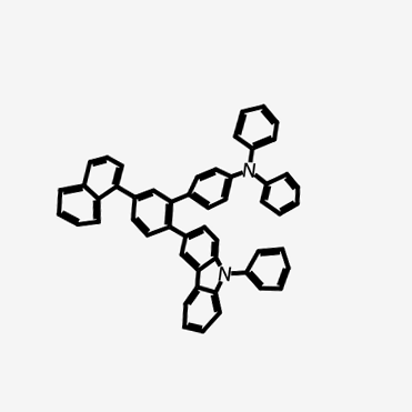 c1ccc(N(c2ccccc2)c2ccc(-c3cc(-c4cccc5ccccc45)ccc3-c3ccc4c(c3)c3ccccc3n4-c3ccccc3)cc2)cc1